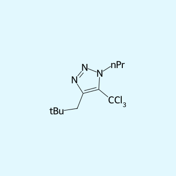 CCCn1nnc(CC(C)(C)C)c1C(Cl)(Cl)Cl